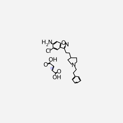 Nc1cc2onc(CCC3CCN(CCc4ccccc4)CC3)c2cc1Cl.O=C(O)/C=C/C(=O)O